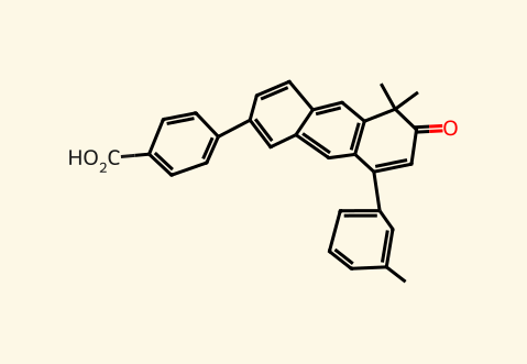 Cc1cccc(C2=CC(=O)C(C)(C)c3cc4ccc(-c5ccc(C(=O)O)cc5)cc4cc32)c1